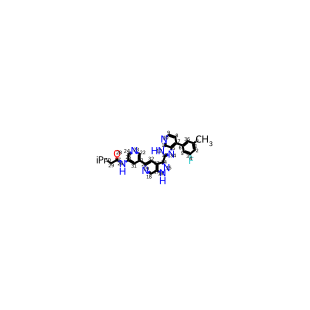 Cc1cc(F)cc(-c2ccnc3[nH]c(-c4n[nH]c5cnc(-c6cncc(NC(=O)CC(C)C)c6)cc45)nc23)c1